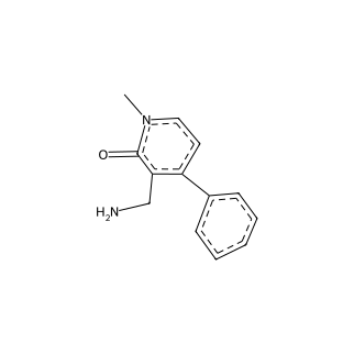 Cn1ccc(-c2ccccc2)c(CN)c1=O